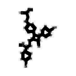 O=C(O)COc1ccc(C2C(CC[C@H](O)c3ccc(F)cc3)C(=O)N2c2ccc(F)cc2)cc1